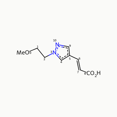 COCCn1cc(/C=C/C(=O)O)cn1